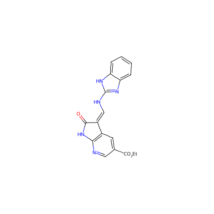 CCOC(=O)c1cnc2c(c1)C(=CNc1nc3ccccc3[nH]1)C(=O)N2